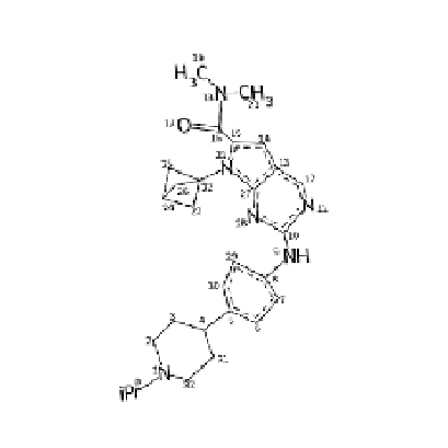 CC(C)N1CCC(c2ccc(Nc3ncc4cc(C(=O)N(C)C)n(C56CC(C5)C6)c4n3)cc2)CC1